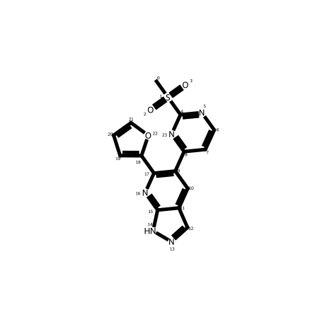 CS(=O)(=O)c1nccc(-c2cc3cn[nH]c3nc2-c2ccco2)n1